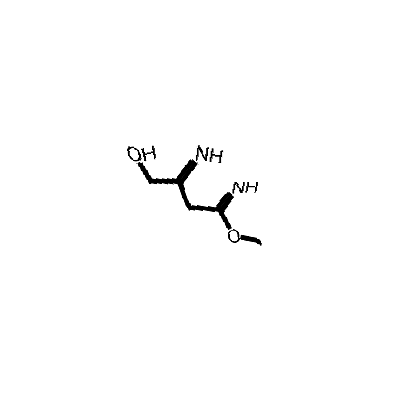 COC(=N)CC(=N)CO